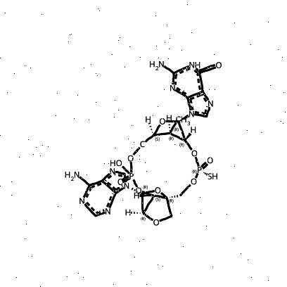 C[C@H]1[C@H]2O[P@](=O)(S)OC[C@@]34CO[C@@H]([C@H](n5cnc6c(N)ncnc65)O3)[C@@H]4OP(=O)(O)OC[C@H]1O[C@H]2n1cnc2c(=O)[nH]c(N)nc21